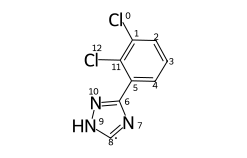 Clc1cccc(-c2n[c][nH]n2)c1Cl